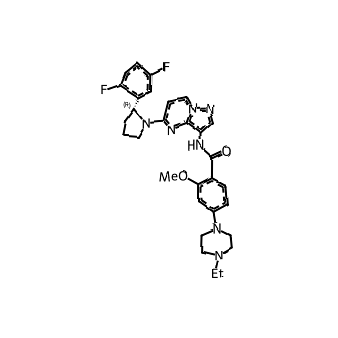 CCN1CCN(c2ccc(C(=O)Nc3cnn4ccc(N5CCC[C@@H]5c5cc(F)ccc5F)nc34)c(OC)c2)CC1